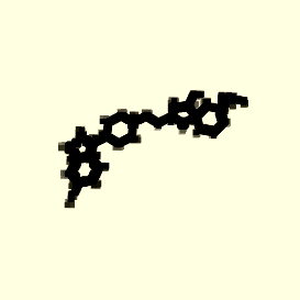 CNC1=CC=CC(OCCCN2CCC(c3noc4cc(F)ccc34)CC2)(C(C)=O)C1